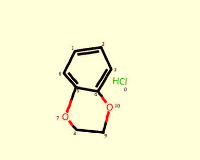 Cl.c1ccc2c(c1)OCCO2